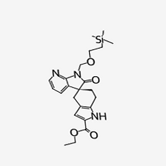 CCOC(=O)c1cc2c([nH]1)CC[C@]1(C2)C(=O)N(COCC[Si](C)(C)C)c2ncccc21